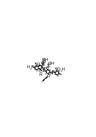 C#CC#COc1cc(N=Nc2c(SOOO)cc3c(S(=O)(=O)O)c(N)ccc3c2O)c(OCCO)cc1N=Nc1ccc(C)cc1S(=O)(=O)O